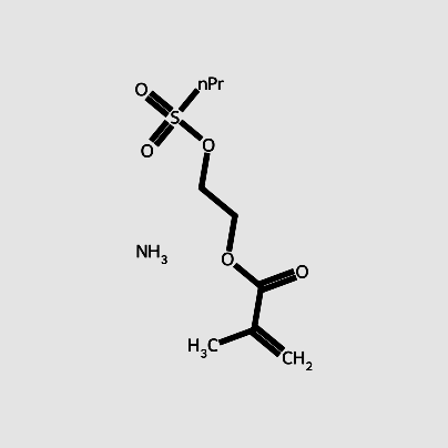 C=C(C)C(=O)OCCOS(=O)(=O)CCC.N